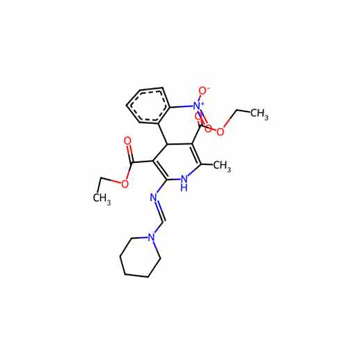 CCOC(=O)C1=C(C)NC(N=CN2CCCCC2)=C(C(=O)OCC)C1c1ccccc1[N+](=O)[O-]